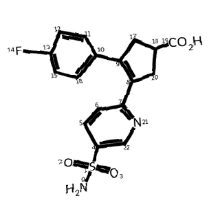 NS(=O)(=O)c1ccc(C2=C(c3ccc(F)cc3)CC(C(=O)O)C2)nc1